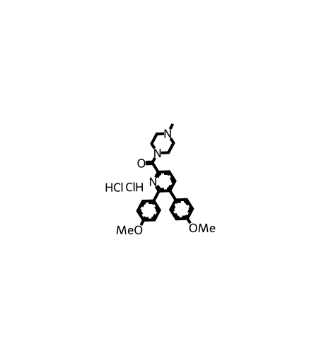 COc1ccc(-c2ccc(C(=O)N3CCN(C)CC3)nc2-c2ccc(OC)cc2)cc1.Cl.Cl